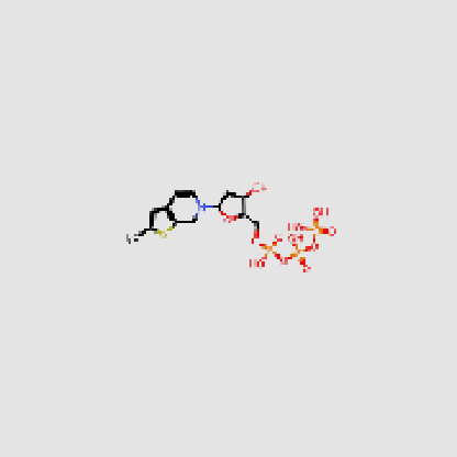 Cc1cc2c(s1)CN([C@H]1CC(O)[C@@H](COP(=O)(O)OP(=O)(O)OP(=O)(O)O)O1)C=C2